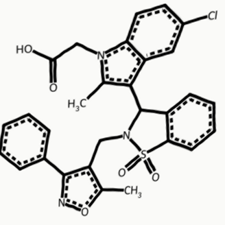 Cc1onc(-c2ccccc2)c1CN1C(c2c(C)n(CC(=O)O)c3ccc(Cl)cc23)c2ccccc2S1(=O)=O